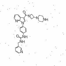 O=C(NCc1cccnc1)Nc1ccc(-n2cc(C(=O)N3CC(N4CCNCC4)C3)c3cccnc32)cc1